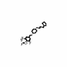 Fc1cc(CC[C@H]2CC[C@H](CCCCC3CCCC3)CC2)cc(F)c1OC(F)F